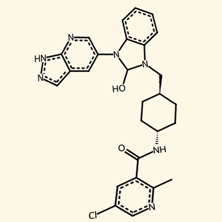 Cc1ncc(Cl)cc1C(=O)N[C@H]1CC[C@H](CN2c3ccccc3N(c3cnc4[nH]ncc4c3)C2O)CC1